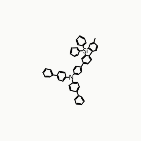 Cc1ccc2c(c1)[Si](c1ccccc1)(c1ccccc1)c1cc(-c3ccc(N(c4ccc(-c5ccccc5)cc4)c4ccc(-c5ccccc5)cc4)cc3)ccc1-2